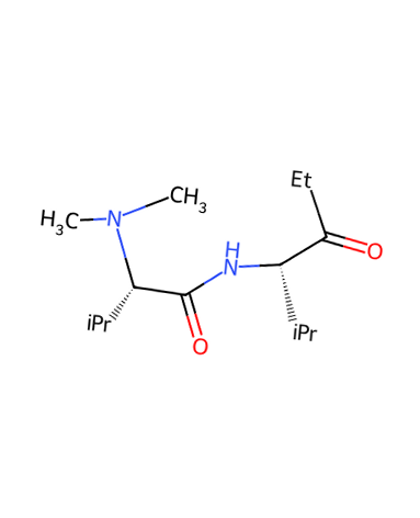 CCC(=O)[C@@H](NC(=O)[C@H](C(C)C)N(C)C)C(C)C